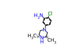 C[C@@H]1CN(c2ccc(Cl)c(N)c2)C[C@H](C)N1